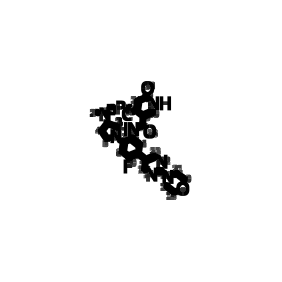 CCCN(C)C1CCN(c2cc(F)c(-c3cnc(N4CCOCC4)nc3)cc2NC(=O)c2c[nH]c(=O)cc2C(F)(F)F)C1